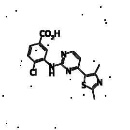 Cc1nc(C)c(-c2ccnc(Nc3cc(C(=O)O)ccc3Cl)n2)s1